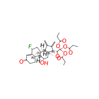 C=C1C(=C)[C@H]2[C@@H]3CC(F)C4=CC(=O)CC[C@]4(C)[C@H]3C(O)C[C@]2(C)[C@H]1C(=O)C(OC(=O)CC)(OC(=O)CC)OC(=O)CC